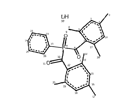 Cc1cc(C)c(C(=O)P(=O)(C(=O)c2c(C)cc(C)cc2C)c2ccccc2)c(C)c1.[LiH]